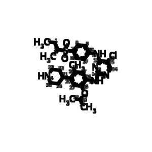 CCC(C)S(=O)(=O)c1ccc(Nc2nc(Nc3cc(C)c(C4CCNCC4)cc3OC(C)C)ncc2Cl)cc1